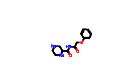 O=C(COc1ccccc1)NC(=O)C1CNCCN1